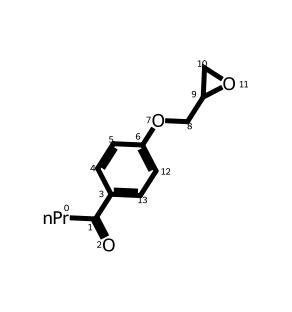 CCCC(=O)c1ccc(OCC2CO2)cc1